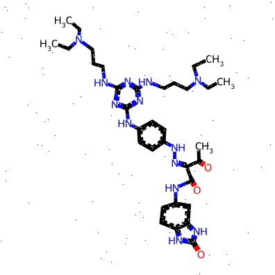 CCN(CC)CCCNc1nc(NCCCN(CC)CC)nc(Nc2ccc(NN=C(C(C)=O)C(=O)Nc3ccc4[nH]c(=O)[nH]c4c3)cc2)n1